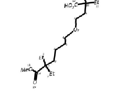 CCC(CC)(CCCCOCCC(CC)(C(=O)O)C(C)C)C(=O)OC